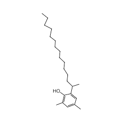 CCCCCCCCCCCCCC(C)c1cc(C)cc(C)c1O